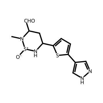 CN1C(C=O)CC(c2ccc(-c3cn[nH]c3)s2)N[S+]1[O-]